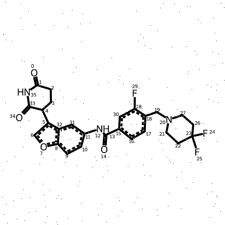 O=C1CCC(c2coc3ccc(NC(=O)c4ccc(CN5CCC(F)(F)CC5)c(F)c4)cc23)C(=O)N1